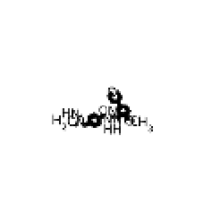 C=CN(C=N)Cc1ccc(C(=O)Nc2nc3c(C4CCOCC4)ccc(OC)c3[nH]2)cc1